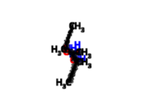 CCCCCCCCCCCCCC(C)NC(=O)CCN(CCNC)CCC(=O)NC(C)CCCCCCCCCCCCC